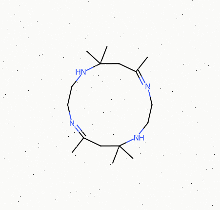 CC1=NCCNC(C)(C)CC(C)=NCCNC(C)(C)C1